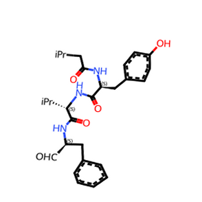 CC(C)CC(=O)N[C@@H](Cc1ccc(O)cc1)C(=O)N[C@H](C(=O)N[C@H](C=O)Cc1ccccc1)C(C)C